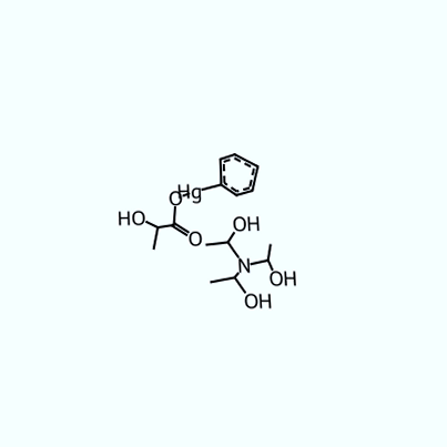 CC(O)C(=O)[O][Hg][c]1ccccc1.CC(O)N(C(C)O)C(C)O